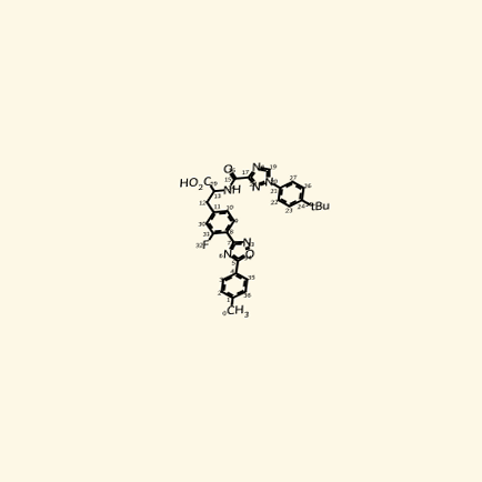 Cc1ccc(-c2nc(-c3ccc(CC(NC(=O)c4ncn(-c5ccc(C(C)(C)C)cc5)n4)C(=O)O)cc3F)no2)cc1